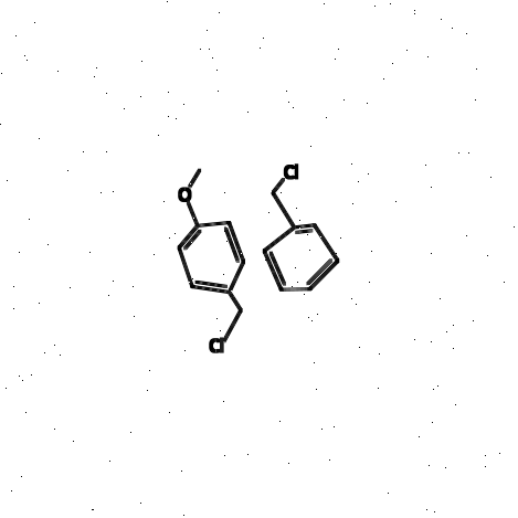 COc1ccc(CCl)cc1.ClCc1ccccc1